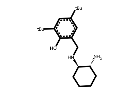 CC(C)(C)c1cc(CN[C@@H]2CCCC[C@H]2N)c(O)c(C(C)(C)C)c1